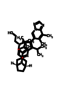 Cc1c(-c2[nH]c3ccc(N4[C@@H]5CC[C@H]4CN(C(=O)CN(CCO)C(C)(C)C)C5)nc3c2C(C)C)cn2ncnc2c1C